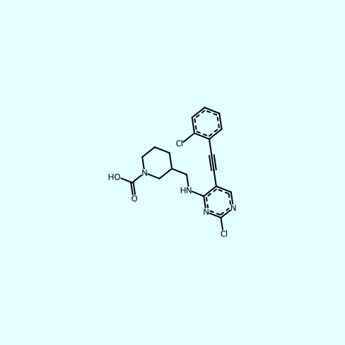 O=C(O)N1CCCC(CNc2nc(Cl)ncc2C#Cc2ccccc2Cl)C1